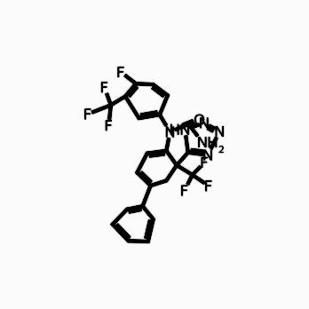 NC(=O)N(C1=CC=C(c2ccccc2)CC1(c1nnn[nH]1)C(F)(F)F)c1ccc(F)c(C(F)(F)F)c1